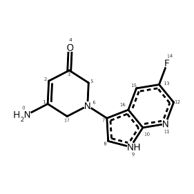 NC1=CC(=O)CN(c2c[nH]c3ncc(F)cc23)C1